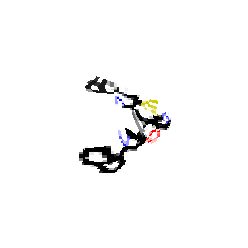 CC(C)(C)c1cc2c(cn1)B1c3cnc(-c4cccc5ccccc45)cc3Oc3ccnc(c31)S2